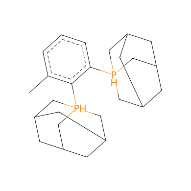 Cc1cccc([PH]23CC4CC(CC(C4)C2)C3)c1[PH]12CC3CC(CC(C3)C1)C2